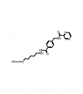 CCCCCOCCCCCNNC(=O)c1ccc(CNC(=O)c2cnccn2)cc1